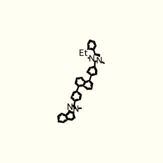 CCc1ccccc1C1=CN(C)C(c2ccc(-c3cccc4c(-c5ccc(-c6nc7c8ccccc8ccc7n6C)cc5)cccc34)cc2)N1C